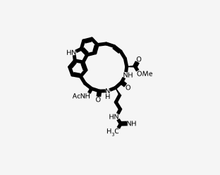 COC(=O)[C@@H]1CC=CCc2ccc3[nH]c4ccc(cc4c3c2)CC(NC(C)=O)C(=O)N[C@H](CCCNC(C)=N)C(=O)N1